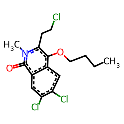 CCCCOc1c(CCCl)n(C)c(=O)c2cc(Cl)c(Cl)cc12